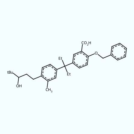 CCC(CC)(c1ccc(CCC(O)C(C)(C)C)c(C)c1)c1ccc(OCc2ccccc2)c(C(=O)O)c1